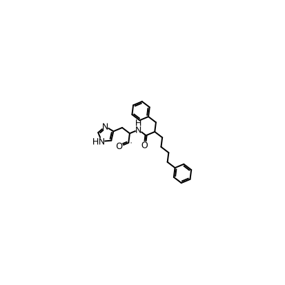 O=[C]C(Cc1c[nH]cn1)NC(=O)C(CCCCc1ccccc1)Cc1ccccc1